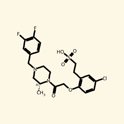 C[C@@H]1CN(Cc2ccc(F)c(F)c2)CCN1C(=O)COc1ccc(Cl)cc1CCS(=O)(=O)O